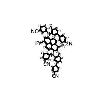 Cc1ccc(-c2ccc(C#N)cc2)cc1N(c1cccc(C#N)c1)c1cc(C(C)C)c2ccc3c(N(c4cccc(C#N)c4)c4cc(-c5ccc(C#N)cc5)ccc4C)cc(C(C)C)c4ccc1c2c43